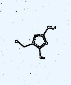 CC(C)(C)c1oc(C(=O)O)cc1CCl